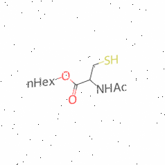 CCCCCCOC(=O)C(CS)NC(C)=O